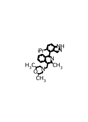 Cc1nc(-c2c(C(C)C)ccc3[nH]ncc23)c2ccccc2c1CN1C[C@H](C)O[C@@H](C)C1